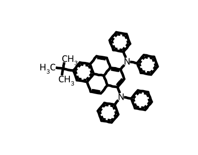 CC(C)(C)c1cc2c3c(c1)C=CC1C(N(c4ccccc4)c4ccccc4)=CC(N(c4ccccc4)c4ccccc4)=C(C=C2)C31